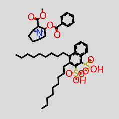 CCCCCCCCCc1c(S(=O)(=O)O)c(S(=O)(=O)O)c2ccccc2c1CCCCCCCCC.COC(=O)C1C(OC(=O)c2ccccc2)CC2CCC1N2C